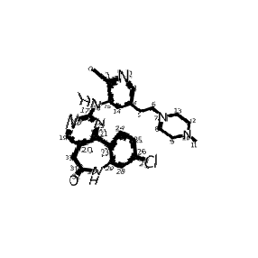 Cc1ncc(CCN2CCN(C)CC2)cc1Nc1ncc2c(n1)-c1ccc(Cl)cc1NC(=O)C2